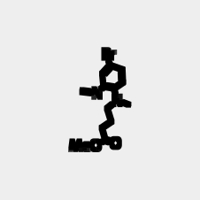 C=Nc1cc(Br)ccc1N(C)CCCC(=O)OC